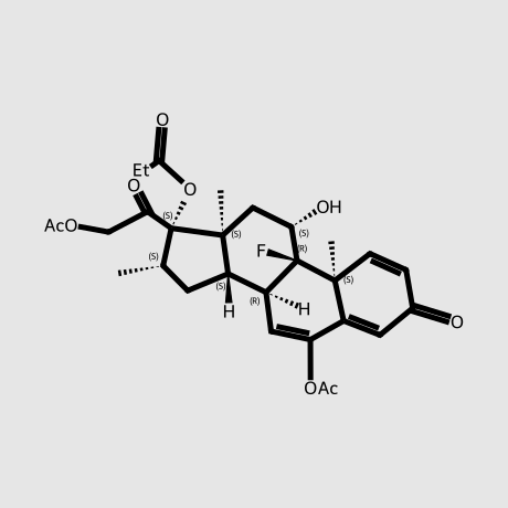 CCC(=O)O[C@@]1(C(=O)COC(C)=O)[C@@H](C)C[C@H]2[C@@H]3C=C(OC(C)=O)C4=CC(=O)C=C[C@]4(C)[C@@]3(F)[C@@H](O)C[C@@]21C